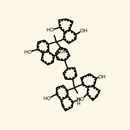 CC(c1ccc(-c2ccc(C(C)(c3ccc(O)c4cccc(O)c34)c3ccc(O)c4cccc(O)c34)cc2)cc1)(c1ccc(O)c2cccc(O)c12)c1ccc(O)c2cccc(O)c12